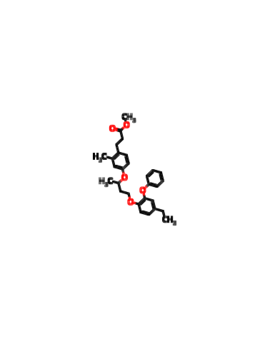 CCc1ccc(OCCC(C)Oc2ccc(CCC(=O)OC)c(C)c2)c(Oc2ccccc2)c1